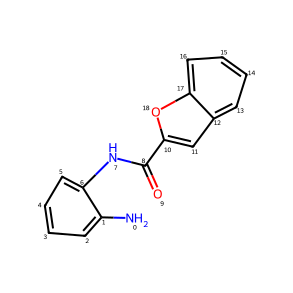 Nc1ccccc1NC(=O)c1cc2ccccc2o1